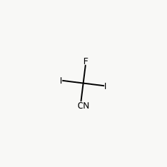 N#CC(F)(I)I